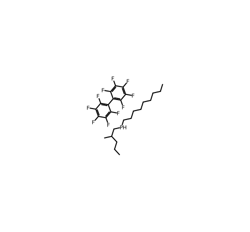 CCCCCCCCCPCC(C)CCC.Fc1c(F)c(F)c(-c2c(F)c(F)c(F)c(F)c2F)c(F)c1F